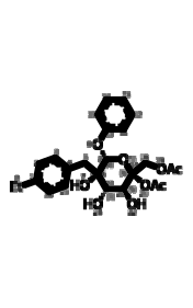 CCc1ccc(C[C@]2(O)[C@H](Oc3ccccc3)O[C@@](COC(C)=O)(OC(C)=O)[C@@H](O)[C@@H]2O)cc1